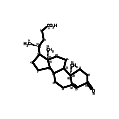 C[C@H](CCC(=O)O)C1CCC2C3CCC4=CC(=O)CC[C@]4(C)C3CC[C@@]21C